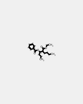 CCCCC(C(=O)OCC)C(CCC)OC(=O)c1ccccc1